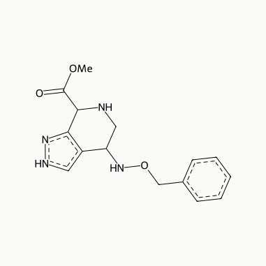 COC(=O)C1NCC(NOCc2ccccc2)c2c[nH]nc21